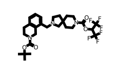 CC(C)(C)OC(=O)N1CCc2cccc(CN3CCC4(CCN(C(=O)OC(C(F)(F)F)C(F)(F)F)CC4)C3)c2C1